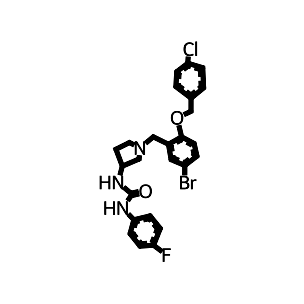 O=C(Nc1ccc(F)cc1)NC1CCN(Cc2cc(Br)ccc2OCc2ccc(Cl)cc2)C1